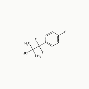 CC(C)(O)C(F)(F)c1c[c]c(F)cc1